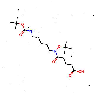 CC(C)(C)OC(=O)NCCCCCN(OC(C)(C)C)C(=O)CCCC(=O)O